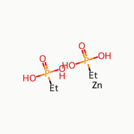 CCP(=O)(O)O.CCP(=O)(O)O.[Zn]